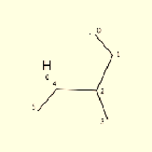 [CH2]CC(C)CC.[H+]